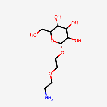 NCCOCCO[C@@H]1OC(CO)[C@H](O)C(O)C1O